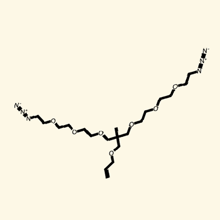 C=CCOCC(C)(COCCOCCOCCN=[N+]=[N-])COCCOCCOCCN=[N+]=[N-]